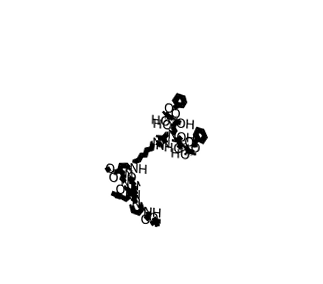 CC#CCn1c(N2CCC[C@@H](NC(=O)OC(C)(C)C)C2)nc2c1c(=O)n(Cc1nc(NCCCCCCCn3cc(CN(CC(O)C(O)[C@@H]4OC(c5ccccc5)OC[C@H]4O)CC(O)C(O)[C@@H]4OC(c5ccccc5)OC[C@H]4O)nn3)ccc1C(=O)OC)c(=O)n2C